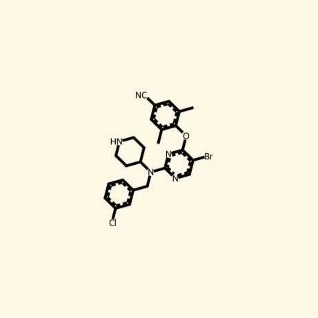 Cc1cc(C#N)cc(C)c1Oc1nc(N(Cc2cccc(Cl)c2)C2CCNCC2)ncc1Br